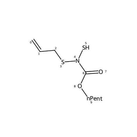 C=CCSN(S)C(=O)OCCCCC